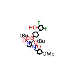 COc1ccc(CN(C(=O)OC(C)(C)C)[C@H]2CCN(C(=O)OC(C)(C)C)[C@H]2CO[C@H]2CC[C@@H](c3cc(F)cc(F)c3O)CC2)cc1